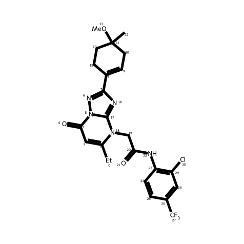 CCc1cc(=O)n2nc(C3=CCC(C)(OC)CC3)nc2n1CC(=O)Nc1ccc(C(F)(F)F)cc1Cl